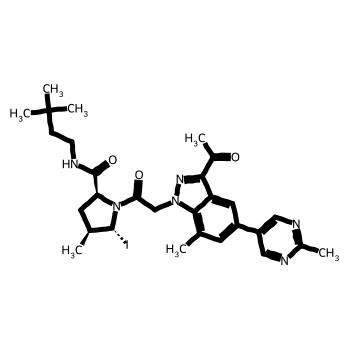 CC(=O)c1nn(CC(=O)N2[C@H](I)[C@@H](C)C[C@H]2C(=O)NCCC(C)(C)C)c2c(C)cc(-c3cnc(C)nc3)cc12